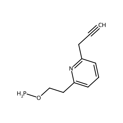 C#CCc1cccc(CCOP)n1